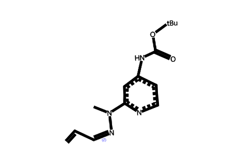 C=C/C=N\N(C)c1cc(NC(=O)OC(C)(C)C)ccn1